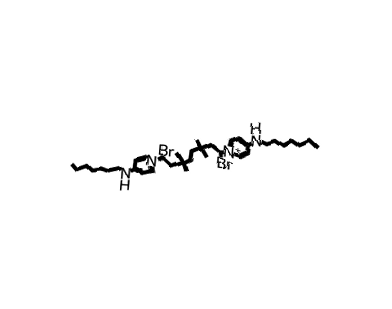 CCCCCCCNc1cc[n+](C(Br)CC(C)(C)CCC(C)(C)CC(Br)[n+]2ccc(NCCCCCCC)cc2)cc1